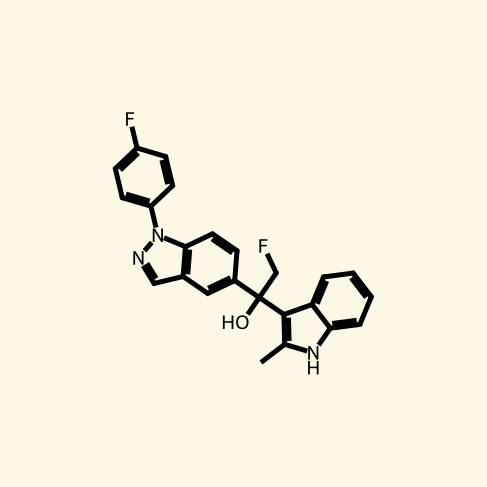 Cc1[nH]c2ccccc2c1C(O)(CF)c1ccc2c(cnn2-c2ccc(F)cc2)c1